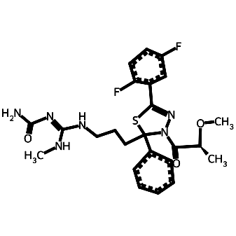 CN/C(=N\C(N)=O)NCCCC1(c2ccccc2)SC(c2cc(F)ccc2F)=NN1C(=O)[C@H](C)OC